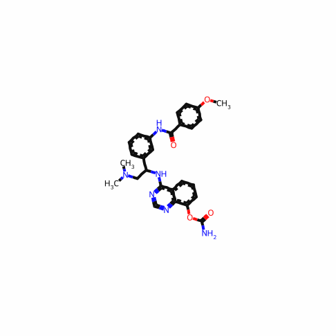 COc1ccc(C(=O)Nc2cccc(C(CN(C)C)Nc3ncnc4c(OC(N)=O)cccc34)c2)cc1